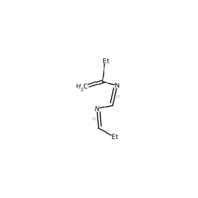 C=C(CC)/N=C\N=C/CC